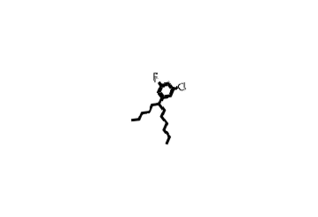 CCCCCCC(CCCCC)c1cc(F)cc(Cl)c1